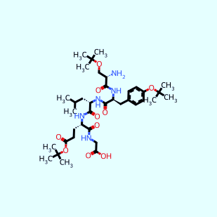 CC(C)C[C@H](NC(=O)[C@H](Cc1ccc(OC(C)(C)C)cc1)NC(=O)[C@@H](N)COC(C)(C)C)C(=O)N[C@@H](CCC(=O)OC(C)(C)C)C(=O)NCC(=O)O